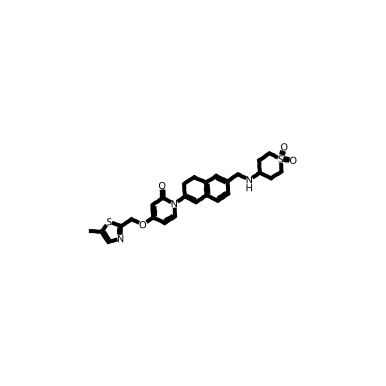 Cc1cnc(COc2ccn(C3=Cc4ccc(CNC5CCS(=O)(=O)CC5)cc4CC3)c(=O)c2)s1